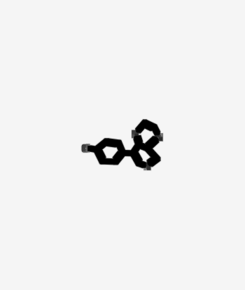 Clc1ccc(-c2cncc3nc[c]nc23)cc1